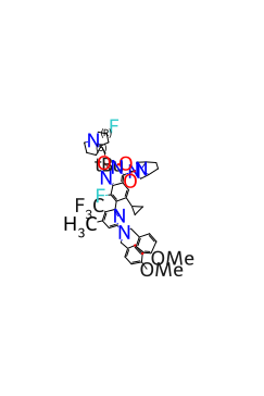 COc1ccc(CN(Cc2ccc(OC)cc2)c2cc(C)c(C(F)(F)F)c(-c3c(C4CC4)cc4c(N5CC6CCC(C5)N6C(=O)OC(C)(C)C)nc(OC[C@@]56CCCN5C[C@H](F)C6)nc4c3F)n2)cc1